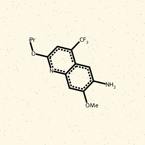 COc1cc2nc(OC(C)C)cc(C(F)(F)F)c2cc1N